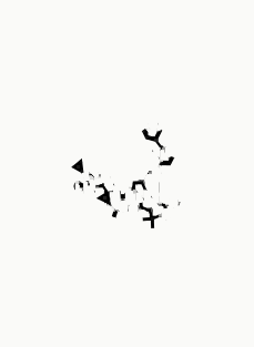 C=C[C@H]1C[C@]1(NC(=O)[C@@H]1C[C@@H](COc2cccc(-c3ccoc3)n2)CN1C(=O)[C@@H](NC(=O)OC)C(C)(C)C)C(=O)NS(=O)(=O)C1CC1